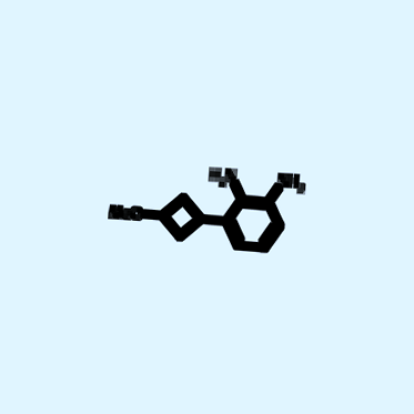 COC1CC(c2cccc(N)c2N)C1